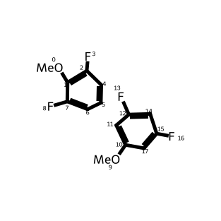 COc1c(F)cccc1F.COc1cc(F)cc(F)c1